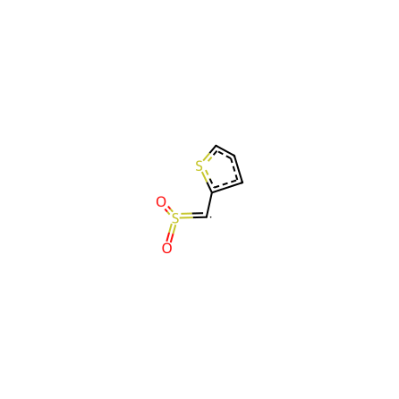 O=S(=O)=[C]c1cccs1